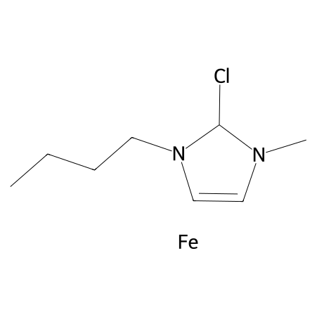 CCCCN1C=CN(C)C1Cl.[Fe]